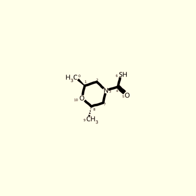 C[C@H]1CN(C(=O)S)C[C@H](C)O1